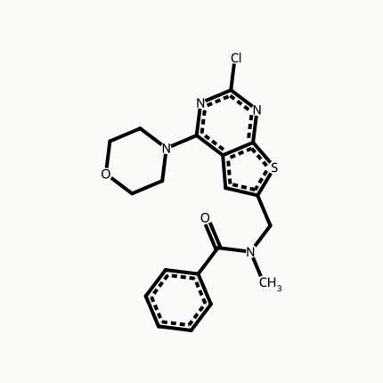 CN(Cc1cc2c(N3CCOCC3)nc(Cl)nc2s1)C(=O)c1ccccc1